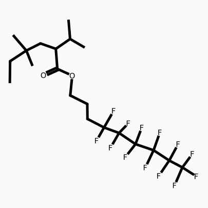 CCC(C)(C)CC(C(=O)OCCCC(F)(F)C(F)(F)C(F)(F)C(F)(F)C(F)(F)C(F)(F)F)C(C)C